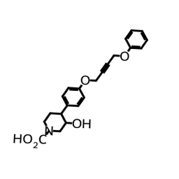 O=C(O)N1CCC(c2ccc(OCC#CCOc3ccccc3)cc2)C(O)C1